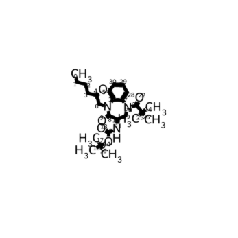 CCCCC(=O)CN1C(=O)C(NC(=O)OC(C)(C)C)CN(C(=O)C(C)(C)C)c2ccccc21